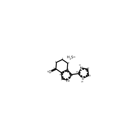 O=C1CCCc2c1csc2-c1nccs1.S